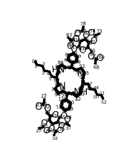 CCCCCCc1c2nc(c(-c3ccc(O[C@@H]4OC(COC(C)=O)[C@@H](OC(C)=O)C(OC(C)=O)C4OC(C)=O)cc3)c3ccc([nH]3)c(CCCCCC)c3nc(c(-c4ccc(OC5O[C@H](COC(C)=O)C(OC(C)=O)C(OC(C)=O)[C@H]5OC(C)=O)cc4)c4ccc1[nH]4)C=C3)C=C2